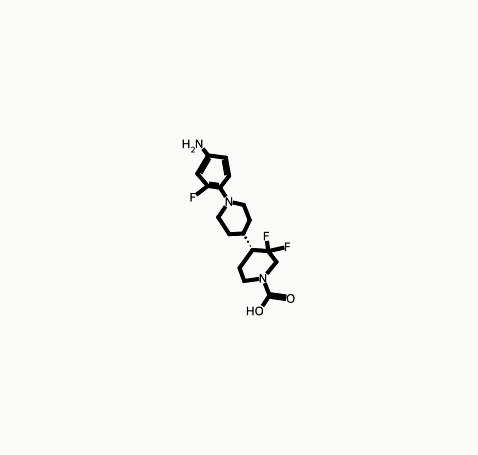 Nc1ccc(N2CCC([C@H]3CCN(C(=O)O)CC3(F)F)CC2)c(F)c1